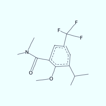 COc1c(C(=O)N(C)C)cc(C(F)(F)F)cc1C(C)C